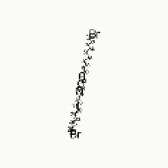 BrCCCCCCC=CCCOCOCOCCC=CCCCCCCBr